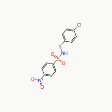 O=[N+]([O-])c1ccc(S(=O)(=O)NSc2ccc(Cl)cc2)cc1